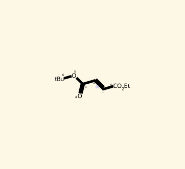 CCOC(=O)/C=C/C(=O)OC(C)(C)C